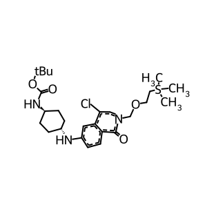 CC(C)(C)OC(=O)N[C@H]1CC[C@H](Nc2ccc3c(=O)n(COCCS(C)(C)C)cc(Cl)c3c2)CC1